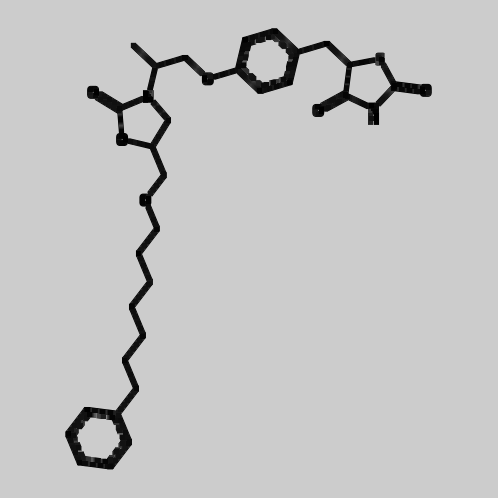 CC(COc1ccc(CC2SC(=O)NC2=O)cc1)N1CC(COCCCCCCCc2ccccc2)OC1=O